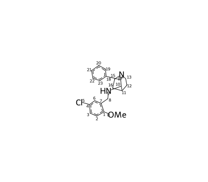 COc1ccc(Cl)cc1CNC1C2CCN(CC2)C1c1ccccc1